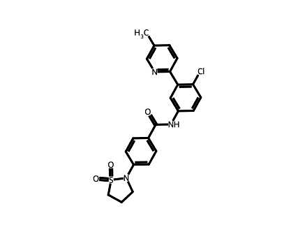 Cc1ccc(-c2cc(NC(=O)c3ccc(N4CCCS4(=O)=O)cc3)ccc2Cl)nc1